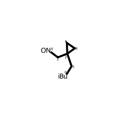 CCC(C)CC1(CN=O)CC1